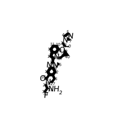 C[C@H](Cn1ccnc1)Oc1cccc2cc(-c3nc4cc5c(cc4n3C)CCN(C[C@H](N)CF)C5=O)n(CC3CC3)c12